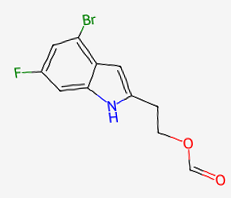 O=COCCc1cc2c(Br)cc(F)cc2[nH]1